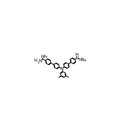 CCCCNc1ccc(-c2ccc(N(c3ccc(-c4ccc(C(N)CCC)cc4)cc3)c3cc(C)cc(C)c3)cc2)cc1